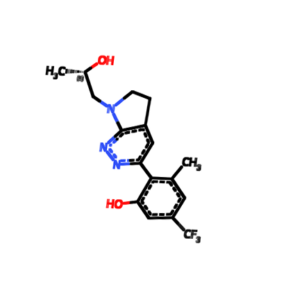 Cc1cc(C(F)(F)F)cc(O)c1-c1cc2c(nn1)N(C[C@H](C)O)CC2